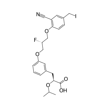 CC(C)O[C@@H](Cc1cccc(OC[C@H](F)COc2ccc(CI)cc2C#N)c1)C(=O)O